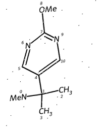 CNC(C)(C)c1cnc(OC)nc1